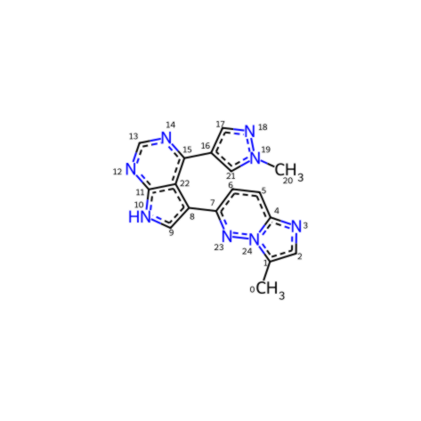 Cc1cnc2ccc(-c3c[nH]c4ncnc(-c5cnn(C)c5)c34)nn12